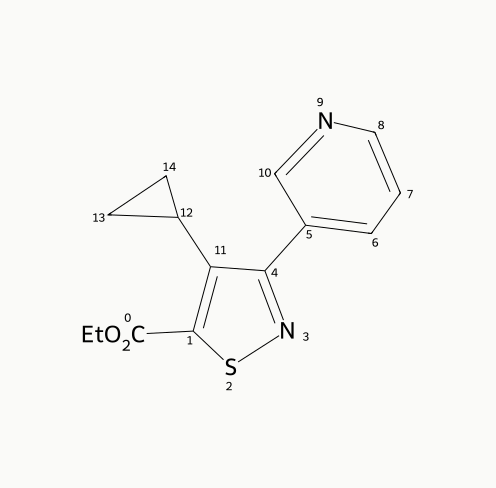 CCOC(=O)c1snc(-c2cccnc2)c1C1CC1